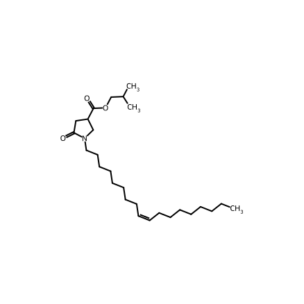 CCCCCCCC/C=C\CCCCCCCCN1CC(C(=O)OCC(C)C)CC1=O